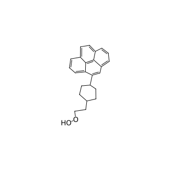 OOCCC1CCC(c2cc3cccc4ccc5cccc2c5c43)CC1